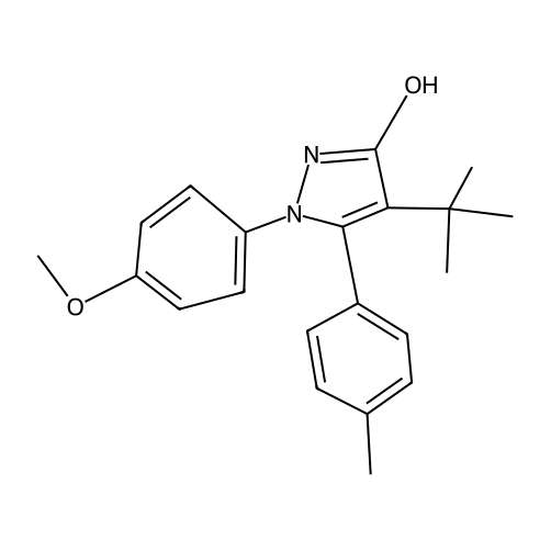 COc1ccc(-n2nc(O)c(C(C)(C)C)c2-c2ccc(C)cc2)cc1